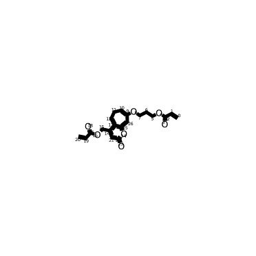 C=CC(=O)OCCCOC1=CCC=c2c(COC(=O)C=C)cc(=O)oc2=C1